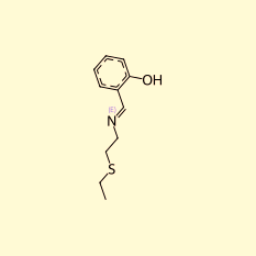 CCSCC/N=C/c1ccccc1O